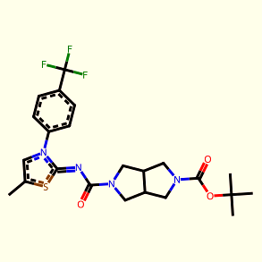 Cc1cn(-c2ccc(C(F)(F)F)cc2)c(=NC(=O)N2CC3CN(C(=O)OC(C)(C)C)CC3C2)s1